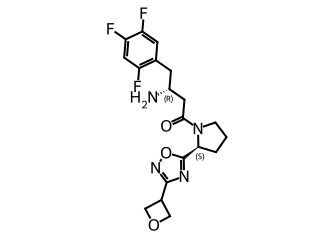 N[C@@H](CC(=O)N1CCC[C@H]1c1nc(C2COC2)no1)Cc1cc(F)c(F)cc1F